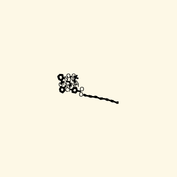 C#CC#CC#CC#CC#CC#CC#COC(=O)c1ccc(Cl)c(NC(=O)C(c2nc3ccccc3c(=O)n2Cc2ccccc2)N2C(=O)OC(C)(C)C2=O)c1